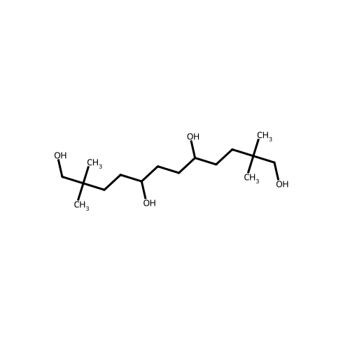 CC(C)(CO)CCC(O)CCC(O)CCC(C)(C)CO